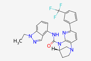 CCn1ncc2c(NC(=O)N3c4nc(-c5cccc(C(F)(F)F)c5)ccc4N4CC[C@H]3C4)cccc21